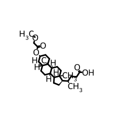 COCC(=O)O[C@H]1CC[C@@]2(C)[C@H](CC[C@@H]3[C@@H]2CC[C@]2(C)[C@@H]([C@H](C)CCC(=O)O)CC[C@@H]32)C1